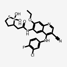 CCOc1cc2ncc(C#N)c(Nc3ccc(F)c(Cl)c3)c2cc1NC(=O)CC1CCSS1(O)O